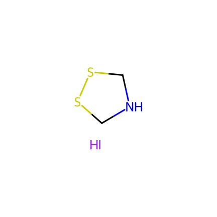 C1NCSS1.I